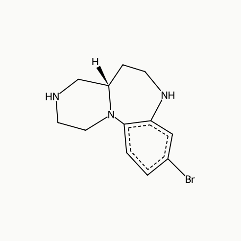 Brc1ccc2c(c1)NCC[C@H]1CNCCN21